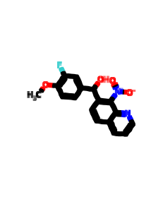 COc1ccc(C(O)c2ccc3cccnc3c2[N+](=O)[O-])cc1F